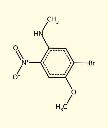 CNc1cc(Br)c(OC)cc1[N+](=O)[O-]